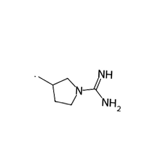 [CH2]C1CCN(C(=N)N)C1